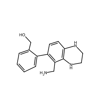 NCc1c(-c2ccccc2CO)ccc2c1NCCN2